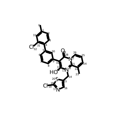 Cc1ccc(-c2cccc(-c3c(O)[n+](Cc4cnc(Cl)s4)c4c(C)cccn4c3=O)c2)c(Cl)c1